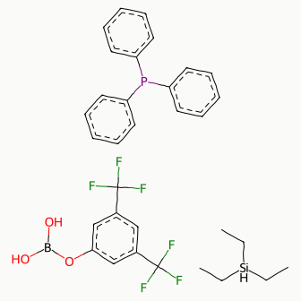 CC[SiH](CC)CC.OB(O)Oc1cc(C(F)(F)F)cc(C(F)(F)F)c1.c1ccc(P(c2ccccc2)c2ccccc2)cc1